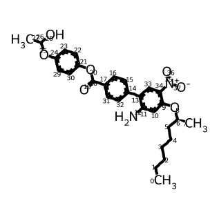 CCCCCC[C@H](C)Oc1cc(N)c(-c2ccc(C(=O)Oc3ccc(OC(C)O)cc3)cc2)cc1[N+](=O)[O-]